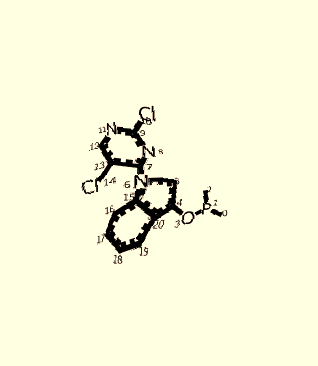 CP(C)Oc1cn(-c2nc(Cl)ncc2Cl)c2ccccc12